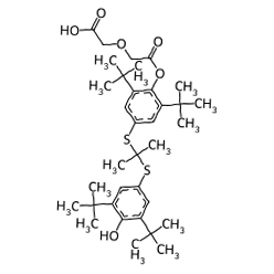 CC(C)(Sc1cc(C(C)(C)C)c(O)c(C(C)(C)C)c1)Sc1cc(C(C)(C)C)c(OC(=O)COCC(=O)O)c(C(C)(C)C)c1